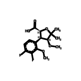 COc1c([C@H]2[C@H](C(=O)O)OC(C)(C)[C@H]2OC)ccc(F)c1F